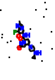 COc1cc2c(N3CCC(NC4CC4)CC3)ccc(C(=O)Nc3cn4cc(C)nc4c(F)c3OC)n2n1